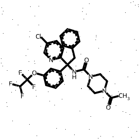 CC(=O)N1CCN(C(=O)NC(Cc2ccccc2)(c2cccc(OC(F)(F)C(F)F)c2)c2ccc(Cl)cn2)CC1